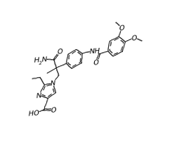 CCc1nc(C(=O)O)cn1CC(C)(C(N)=O)c1ccc(NC(=O)c2ccc(OC)c(OC)c2)cc1